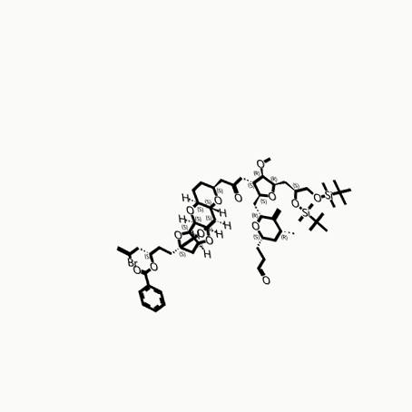 C=C(Br)C[C@H](CC[C@@]12C[C@@H]3O[C@@H]4[C@@H](O1)[C@H]1O[C@H](CC(=O)C[C@@H]5[C@@H](OC)[C@@H](C[C@@H](CO[Si](C)(C)C(C)(C)C)O[Si](C)(C)C(C)(C)C)O[C@H]5C[C@H]5O[C@@H](CCC=O)C[C@@H](C)C5=C)CC[C@@H]1O[C@@H]4[C@H]3O2)OC(=O)c1ccccc1